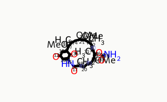 CO[C@H]1[C@@H](OC)C[C@H](C)[C@@H](OC)C2=CC(=O)C=C(NC(=O)/C(C)=C/C=C/[C@H](OC)[C@@H](OC(N)=O)/C(C)=C/[C@@H]1C)C2=O